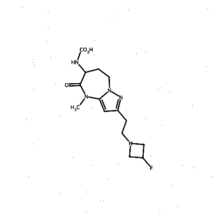 CN1C(=O)C(NC(=O)O)CCn2nc(CCN3CC(F)C3)cc21